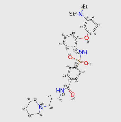 CCN(CC)c1cccc(Oc2ccccc2NS(=O)(=O)c2ccc(C(=O)NCCCN3CCCCC3)cc2)c1